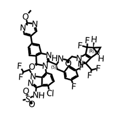 COc1ncc(-c2ccc3c(=O)n(-c4ccc(Cl)c5c(NS(C)(=O)=O)nn(CC(F)F)c45)c([C@H](Cc4cc(F)cc(F)c4)NC(=O)Cn4nc(C(F)F)c5c4C(F)(F)[C@@H]4C[C@H]54)nc3c2)cn1